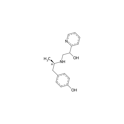 C[C@H](Cc1ccc(O)cc1)NCC(O)c1ccccn1